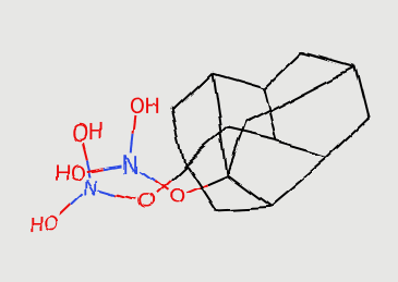 ON(O)OC12CC3C4CC5CC3C(C1)C(ON(O)O)(C5)C4C2